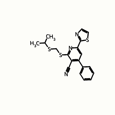 CC(C)SCSc1nc(-c2nccs2)cc(-c2ccccc2)c1C#N